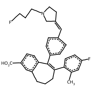 Cc1cc(F)ccc1C1=C(c2ccc(C=C3CCN(CCCF)C3)cc2)c2ccc(C(=O)O)cc2CCC1